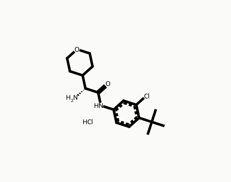 CC(C)(C)c1ccc(NC(=O)[C@H](N)C2CCOCC2)cc1Cl.Cl